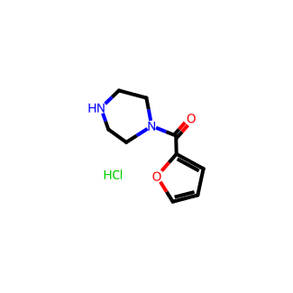 Cl.O=C(c1ccco1)N1CCNCC1